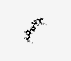 NC/C(=C\F)Cn1ncn(-c2ncc(-c3ccnc(CC(N)=O)c3)s2)c1=O